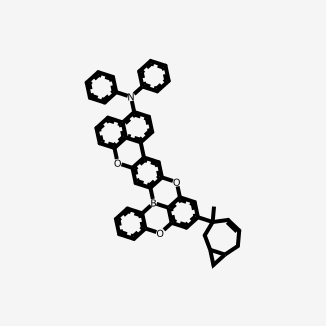 CC1(c2cc3c4c(c2)Oc2cc5c(cc2B4c2ccccc2O3)Oc2cccc3c(N(c4ccccc4)c4ccccc4)ccc-5c23)C=CCC2CC2C1